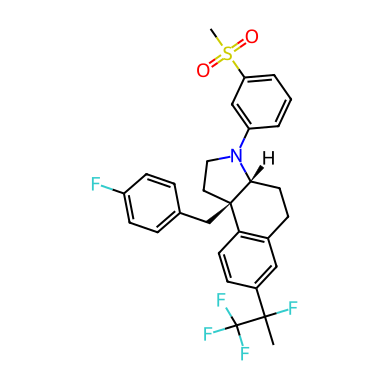 CC(F)(c1ccc2c(c1)CC[C@H]1N(c3cccc(S(C)(=O)=O)c3)CC[C@@]21Cc1ccc(F)cc1)C(F)(F)F